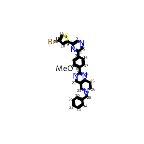 COc1cc(-c2cncc(-c3cc(Br)cs3)n2)ccc1-c1ncc2c(n1)CCN(Cc1ccccc1)C2